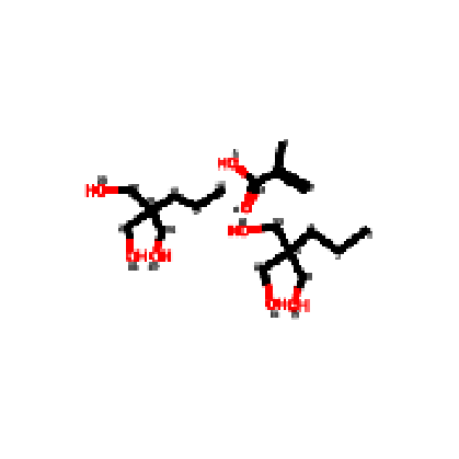 C=C(C)C(=O)O.CCCC(CO)(CO)CO.CCCC(CO)(CO)CO